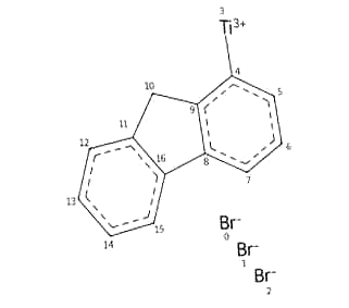 [Br-].[Br-].[Br-].[Ti+3][c]1cccc2c1Cc1ccccc1-2